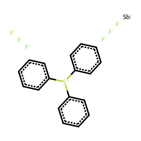 [F-].[F-].[F-].[F-].[F-].[F-].[Sb].c1ccc([S+](c2ccccc2)c2ccccc2)cc1